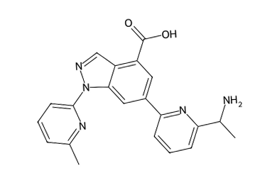 Cc1cccc(-n2ncc3c(C(=O)O)cc(-c4cccc(C(C)N)n4)cc32)n1